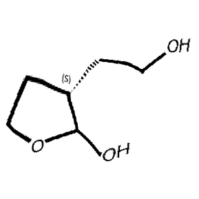 OCC[C@H]1CCOC1O